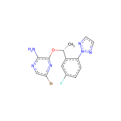 C[C@@H](Oc1nc(Br)cnc1N)c1cc(F)ccc1-n1nccn1